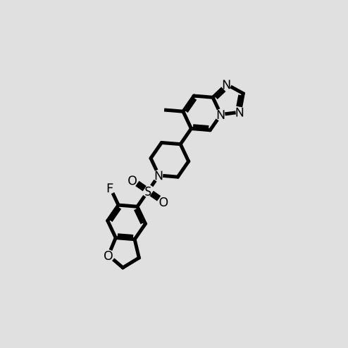 Cc1cc2ncnn2cc1C1CCN(S(=O)(=O)c2cc3c(cc2F)OCC3)CC1